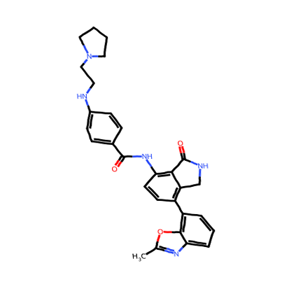 Cc1nc2cccc(-c3ccc(NC(=O)c4ccc(NCCN5CCCC5)cc4)c4c3CNC4=O)c2o1